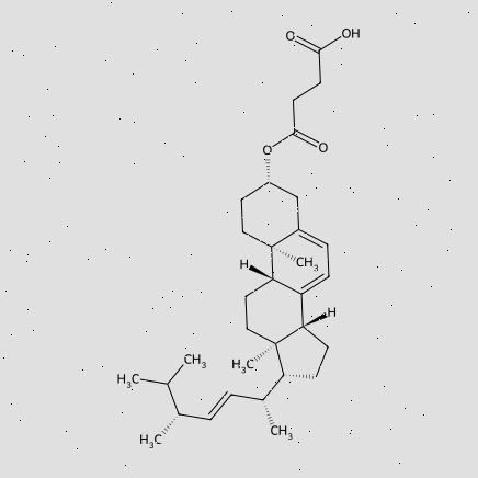 CC(C)[C@@H](C)/C=C/[C@@H](C)[C@H]1CC[C@H]2C3=CC=C4C[C@@H](OC(=O)CCC(=O)O)CC[C@]4(C)[C@H]3CC[C@]12C